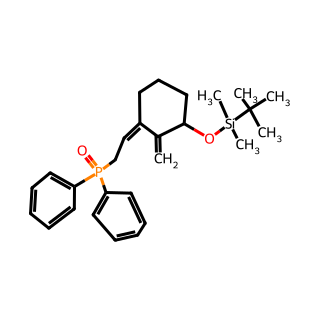 C=C1/C(=C\CP(=O)(c2ccccc2)c2ccccc2)CCCC1O[Si](C)(C)C(C)(C)C